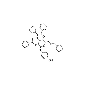 O=C(O[C@H]1C(Oc2ccc(O)cc2)O[C@H](COCc2ccccc2)[C@H](OCc2ccccc2)[C@@H]1OCc1ccccc1)c1ccccc1